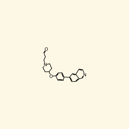 O=CCCN1CCC(Oc2ccc(-c3ccc4cnccc4c3)cc2)CC1